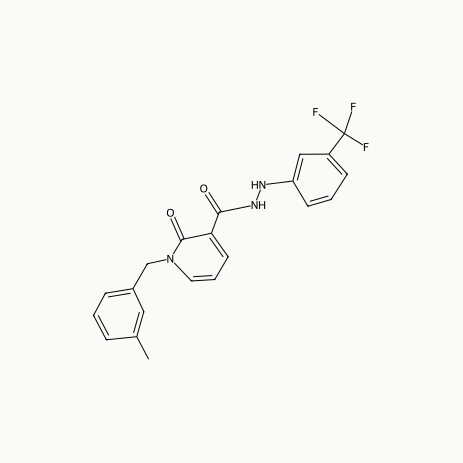 Cc1cccc(Cn2cccc(C(=O)NNc3cccc(C(F)(F)F)c3)c2=O)c1